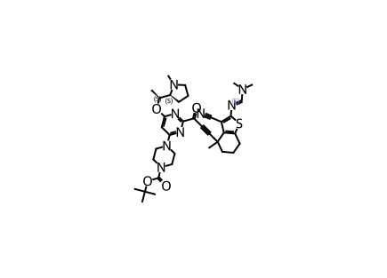 C[C@H](Oc1cc(N2CCN(C(=O)OC(C)(C)C)CC2)nc(C(=O)C#CC2(C)CCCc3sc(/N=C/N(C)C)c(C#N)c32)n1)[C@@H]1CCCN1C